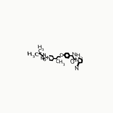 CC(C)c1noc(N2CCC(C(C)CCOc3ccc(C(N)C(=O)N4CCCC4C#N)cc3)CC2)n1